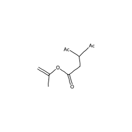 C=C(C)OC(=O)CC(C(C)=O)C(C)=O